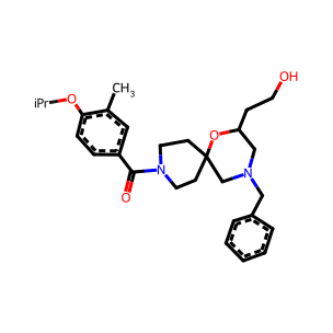 Cc1cc(C(=O)N2CCC3(CC2)CN(Cc2ccccc2)CC(CCO)O3)ccc1OC(C)C